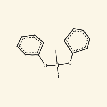 [I][Ti]([I])([O]c1ccccc1)[O]c1ccccc1